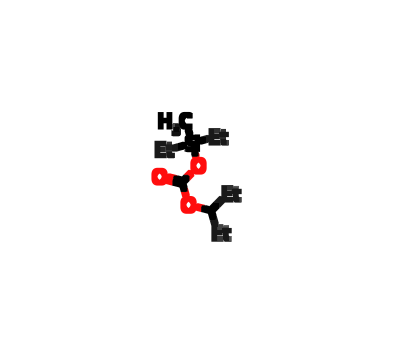 CCC(CC)OC(=O)O[Si](C)(CC)CC